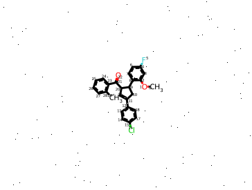 COc1cc(F)ccc1C1CC(c2ccc(Cl)cc2)=CC1C(=O)c1ccccc1C